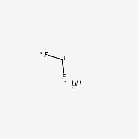 F[CH]F.[LiH]